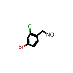 O=NCc1ccc(Br)cc1Cl